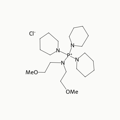 COCCN(CCOC)[P+](N1CCCCC1)(N1CCCCC1)N1CCCCC1.[Cl-]